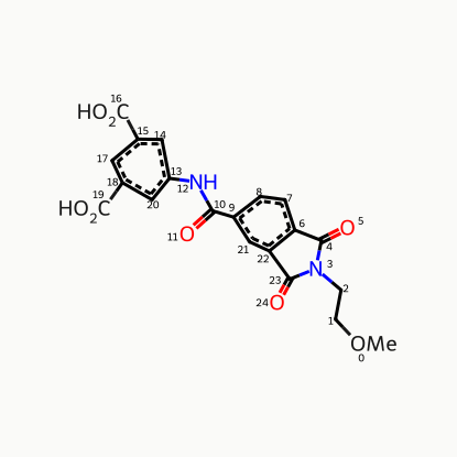 COCCN1C(=O)c2ccc(C(=O)Nc3cc(C(=O)O)cc(C(=O)O)c3)cc2C1=O